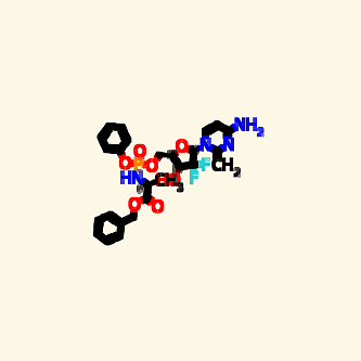 C=C1N=C(N)C=CN1[C@@H]1O[C@H](COP(=O)(N[C@@H](C)C(=O)OCc2ccccc2)Oc2ccccc2)[C@H](O)C1(F)F